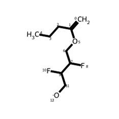 C=C(CCC)OCC(F)C(F)C[O]